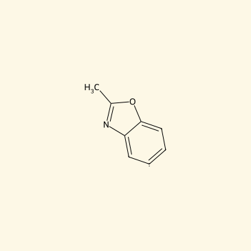 Cc1nc2c[c]ccc2o1